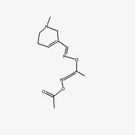 CC(=O)ON=C(C)ON=CC1=CCCN(C)C1